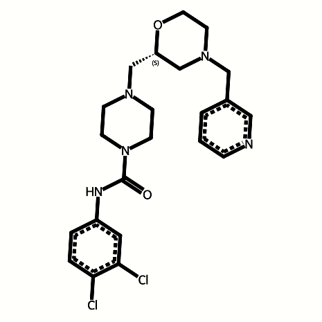 O=C(Nc1ccc(Cl)c(Cl)c1)N1CCN(C[C@H]2CN(Cc3cccnc3)CCO2)CC1